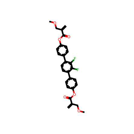 C=C(COC)C(=O)Oc1ccc(-c2ccc(-c3ccc(OC(=O)C(=C)COC)cc3)c(F)c2F)cc1